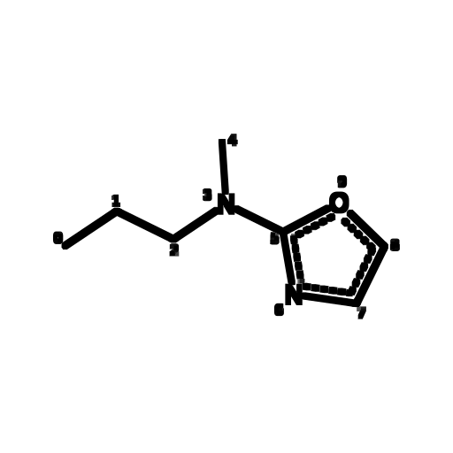 CCCN(C)c1ncco1